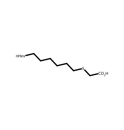 CCCCCCCCCCCCSCC(=O)O